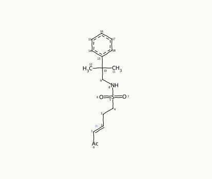 CC(=O)/C=C/CCS(=O)(=O)NCC(C)(C)c1ccccc1